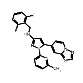 Cc1cccc(-n2nc(NCc3c(F)cccc3F)cc2-c2ccn3ncnc3c2)n1